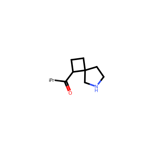 CC(C)C(=O)C1CCC12CCNC2